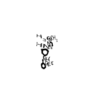 CCOc1ccccc1CN[C@H]1CC[C@@H](Nc2nccc(N(C)C)n2)CC1